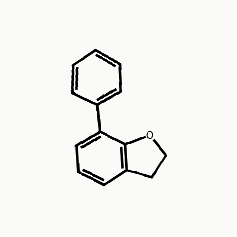 c1ccc(-c2cccc3c2OCC3)cc1